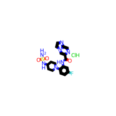 Cl.NS(=O)(=O)NC1CCN(c2ccc(F)cc2NC(=O)c2cn3ccnc3cn2)CC1